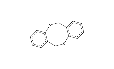 c1ccc2c(c1)CSc1ccccc1CS2